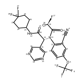 N#Cc1cc(OC(F)(F)F)ccc1N(C(=O)[C@H](F)Cl)[C@@H](C(=O)NC1CCC(F)(F)CC1)c1cncnc1